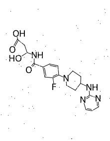 O=C(O)CC(O)NC(=O)c1ccc(N2CCC(Nc3ncccn3)CC2)c(F)c1